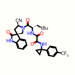 CC(C)(C)C[C@H](NC(=O)C(=O)NC1(c2ccc(C(F)(F)F)cc2)CC1)C(=O)N1C[C@]2(C[C@H]1C#N)C(=O)Nc1ccccc12